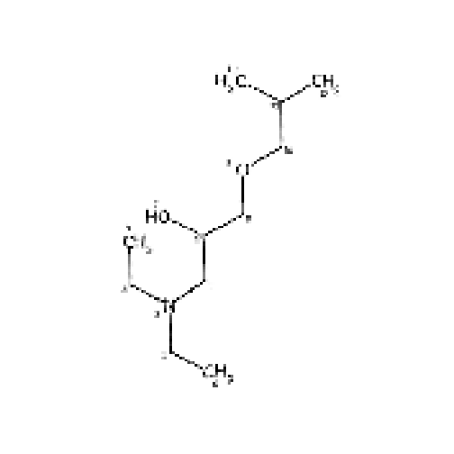 CCN(CC)CC(O)COCC(C)C